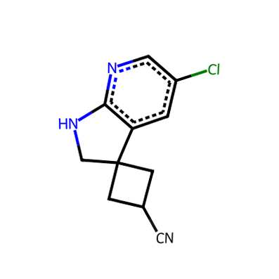 N#CC1CC2(CNc3ncc(Cl)cc32)C1